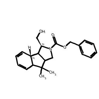 CC1(C)C2CN(C(=O)OCc3ccccc3)[C@H](CO)C2[C@H]2C=CC=CC21